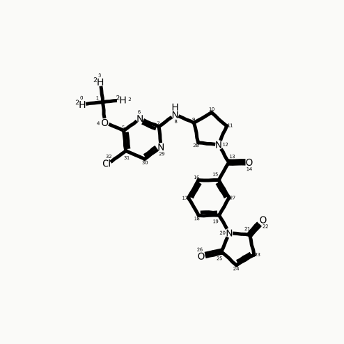 [2H]C([2H])([2H])Oc1nc(NC2CCN(C(=O)c3cccc(N4C(=O)C=CC4=O)c3)C2)ncc1Cl